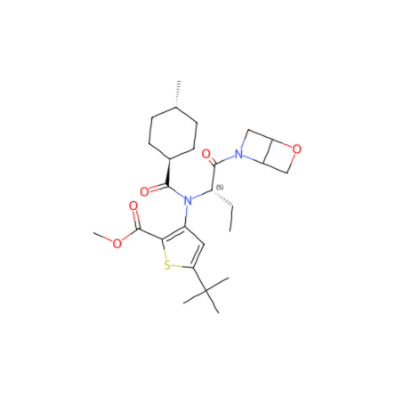 CC[C@@H](C(=O)N1CC2OCC21)N(c1cc(C(C)(C)C)sc1C(=O)OC)C(=O)[C@H]1CC[C@H](C)CC1